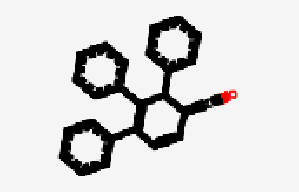 O=C=C1C=CC(c2ccccc2)=C(c2ccccc2)C1c1ccccc1